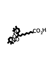 CC1CCC(OC(=O)C(CCCCCCCC(=O)O)C2CCC(C)C(C)(C)N2C)N(C)C1(C)C